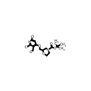 CC(C)(C)OC(=O)N1CCOC(COc2cc(Cl)nc(Cl)c2C=O)C1